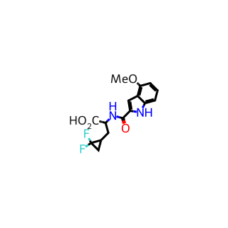 COc1cccc2[nH]c(C(=O)NC(CC3CC3(F)F)C(=O)O)cc12